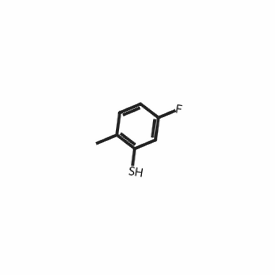 Cc1ccc(F)cc1S